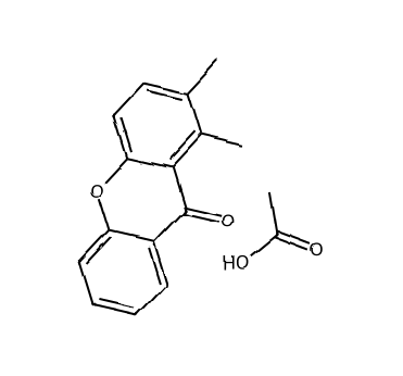 CC(=O)O.Cc1ccc2oc3ccccc3c(=O)c2c1C